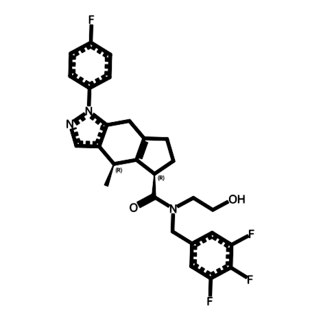 C[C@@H]1C2=C(CC[C@H]2C(=O)N(CCO)Cc2cc(F)c(F)c(F)c2)Cc2c1cnn2-c1ccc(F)cc1